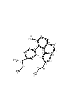 C[C@@H](CN)c1ccc(-c2c(O)ccc3ncc4sc(CCO)cc4c23)cc1